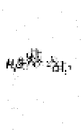 C=C(C)C(=O)OCCNC(=O)NS(=O)(=O)CC12CCC(CC1=O)C2(C)C